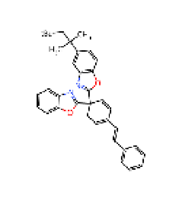 CC(C)(C)CC(C)(C)c1ccc2oc(C3(c4nc5ccccc5o4)C=CC(C=Cc4ccccc4)=CC3)nc2c1